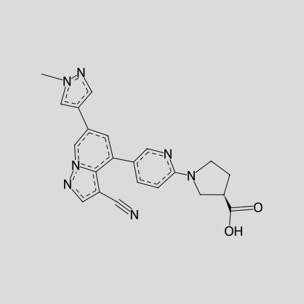 Cn1cc(-c2cc(-c3ccc(N4CC[C@@H](C(=O)O)C4)nc3)c3c(C#N)cnn3c2)cn1